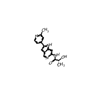 Cc1cc(-c2cc3cnc(NC(=O)[C@@H](C)O)cc3[nH]2)ccn1